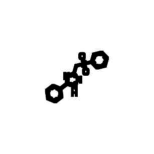 O=S(=O)(Cc1n[nH]c(-c2ccccc2)n1)c1ccccc1